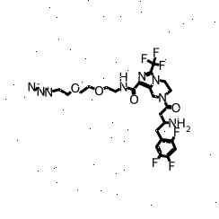 [N-]=[N+]=NCCOCCOCCNC(=O)c1nc(C(F)(F)F)n2c1CN(C(=O)CC(N)Cc1cc(F)c(F)cc1F)CC2